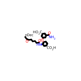 CCCCCCCCCCCC1OC1CCCCC(=O)Nc1cc(C(=O)O)ccc1Oc1cc(C(N)=O)cc(C(=O)O)c1